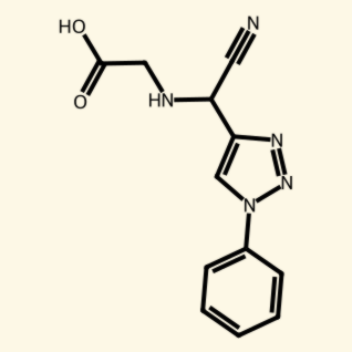 N#CC(NCC(=O)O)c1cn(-c2ccccc2)nn1